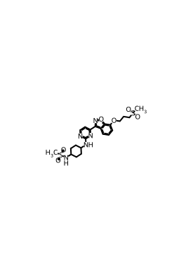 CS(=O)(=O)CCCOc1cccc2c(-c3ccnc(NC4CCC(NS(C)(=O)=O)CC4)n3)noc12